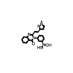 Cn1ccc(C=Cc2nc3ccccc3c(=O)n2-c2cccc(N(O)O)c2)n1